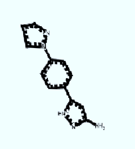 Nc1cc(-c2ccc(-n3cccn3)cc2)[nH]n1